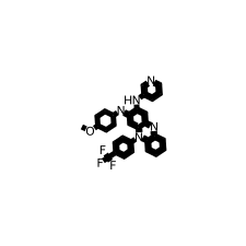 COC1CCC(N=c2cc3n(-c4ccc(C(F)(F)F)cc4)c4ccccc4nc-3cc2Nc2cccnc2)CC1